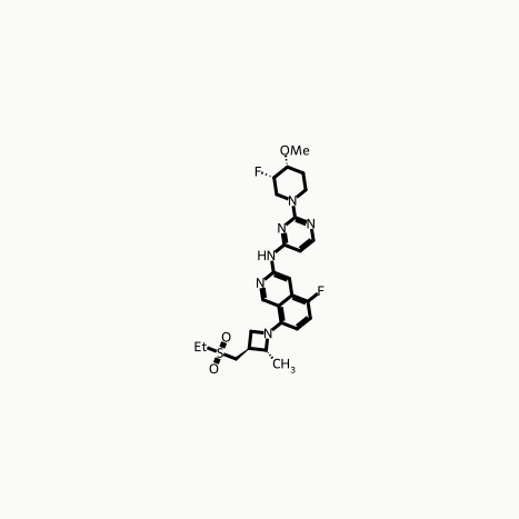 CCS(=O)(=O)C[C@H]1CN(c2ccc(F)c3cc(Nc4ccnc(N5CC[C@@H](OC)[C@@H](F)C5)n4)ncc23)[C@@H]1C